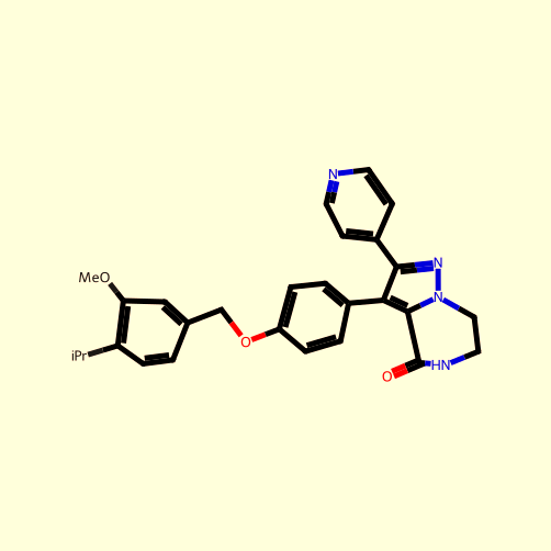 COc1cc(COc2ccc(-c3c(-c4ccncc4)nn4c3C(=O)NCC4)cc2)ccc1C(C)C